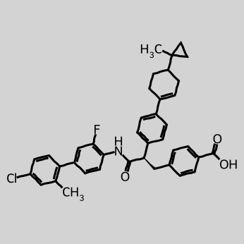 Cc1cc(Cl)ccc1-c1ccc(NC(=O)[C@H](Cc2ccc(C(=O)O)cc2)c2ccc(C3=CCC(C4(C)CC4)CC3)cc2)c(F)c1